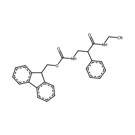 N#CCNC(=O)C(CNC(=O)OCC1c2ccccc2-c2ccccc21)c1ccccc1